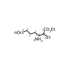 CCCCCCCCCCCCC(CC)C(=O)OCC.N